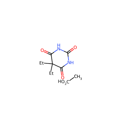 CC(=O)O.CCC1(CC)C(=O)NC(=O)NC1=O